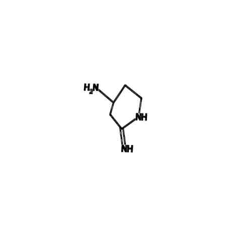 N=C1CC(N)CCN1